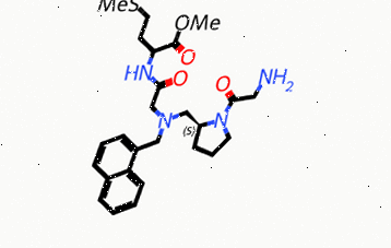 COC(=O)C(CCSC)NC(=O)CN(Cc1cccc2ccccc12)C[C@@H]1CCCN1C(=O)CN